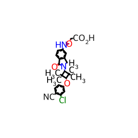 CC1(C)[C@H](Oc2ccc(C#N)c(Cl)c2)C(C)(C)[C@H]1N1Cc2cc(NOCC(=O)O)ccc2C1=O